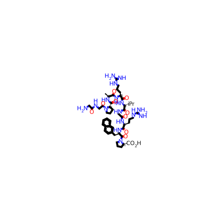 CC(C)[C@@H](NC(=O)[C@H](CCCNC(=N)N)NC(=O)[C@H](C)NC(=O)[C@@H]1CCCN1C(=O)CNC(=O)CN)C(=O)NCC(=O)N[C@@H](CCCNC(=N)N)C(=O)N[C@H](Cc1ccc2ccccc2c1)C(=O)N1CCC[C@H]1C(=O)O